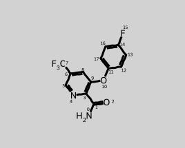 NC(=O)c1ncc(C(F)(F)F)cc1Oc1ccc(F)cc1